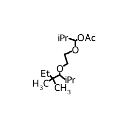 CCC(C)(C)C(OCCOC(OC(C)=O)C(C)C)C(C)C